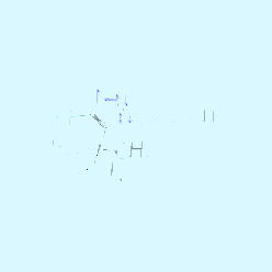 CCCCn1nnc(Cl)c1C(C)(C)C